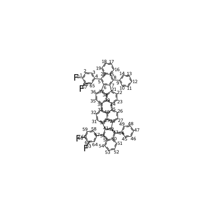 Fc1ccc(-c2c3c(c(-c4ccccc4)c4ccccc24)-c2ccc4c5ccc6c7c(ccc(c8ccc-3c2c48)c75)-c2c-6c(-c3ccccc3)c3ccccc3c2-c2ccc(F)c(F)c2)cc1F